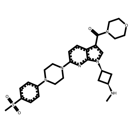 CN[C@H]1C[C@@H](n2cc(C(=O)N3CCOCC3)c3ccc(N4CCN(c5ccc(S(C)(=O)=O)cc5)CC4)nc32)C1